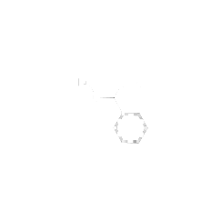 CC(C)(C)OC(C=O)c1ccccc1